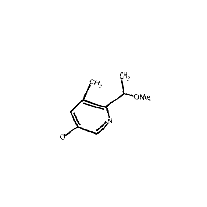 COC(C)c1ncc(Cl)cc1C